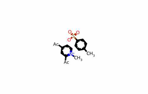 CC(=O)c1cc[n+](C)c(C(C)=O)c1.Cc1ccc(S(=O)(=O)[O-])cc1